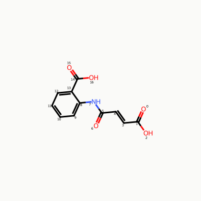 O=C(O)C=CC(=O)Nc1ccccc1C(=O)O